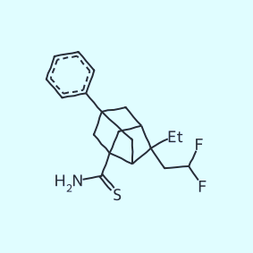 CCC1(CC(F)F)C2CC3(c4ccccc4)CC1C(C(N)=S)(C2)C3